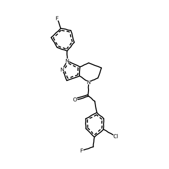 O=C(Cc1ccc(CF)c(Cl)c1)N1CCCc2c1cnn2-c1ccc(F)cc1